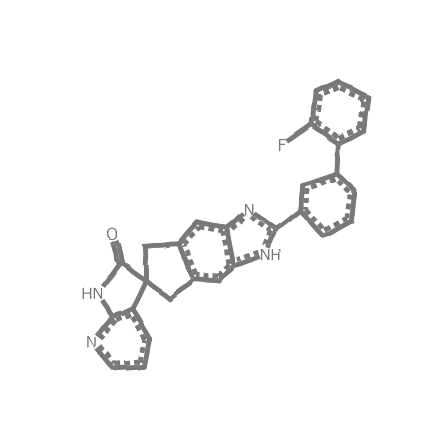 O=C1Nc2ncccc2C12Cc1cc3nc(-c4cccc(-c5ccccc5F)c4)[nH]c3cc1C2